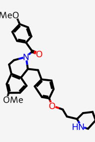 COc1ccc(C(=O)N2CCc3cc(OC)ccc3C2Cc2ccc(OCCC3CCCCN3)cc2)cc1